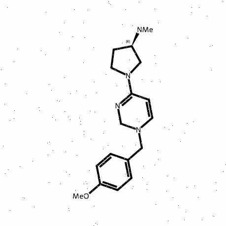 CN[C@@H]1CCN(C2=NCN(Cc3ccc(OC)cc3)C=C2)C1